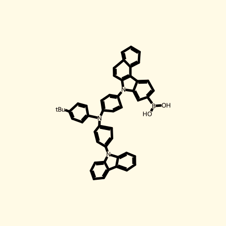 CC(C)(C)c1ccc(N(c2ccc(-n3c4ccccc4c4ccccc43)cc2)c2ccc(-n3c4cc(B(O)O)ccc4c4c5ccccc5ccc43)cc2)cc1